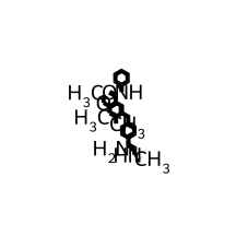 CCOc1c(C(=O)NC2CCCCC2)cc(Cc2ccc(/C(N)=C/NC)cc2)c(C)c1C